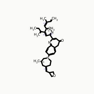 C=C/C(C)=C\C(C)/C(=C\C(=N/C)C1=CC(=O)CC2=CC=C(N3CC/C(=C\C4COC4)C[C@H](C)C3)C=CC2=N1)C(=C)CC